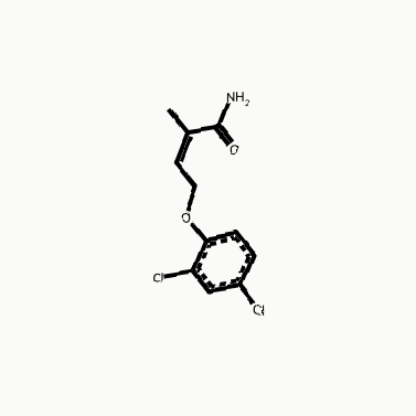 CC(=CCOc1ccc(Cl)cc1Cl)C(N)=O